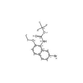 CCOc1ccc2ccc(Br)cc2c1NC(=O)OC(C)(C)C